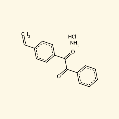 C=Cc1ccc(C(=O)C(=O)c2ccccc2)cc1.Cl.N